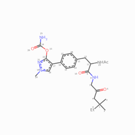 CCC(C)(C)CC(=O)CNC(=O)C(Cc1ccc(-c2cn(C)nc2OC(N)=O)cc1)NC(C)=O